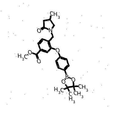 COC(=O)c1ccc(CN2CC(C)CC2=O)c(Oc2ccc(B3OC(C)(C)C(C)(C)O3)cc2)c1